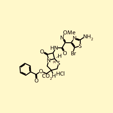 CON=C(C(=O)NC1C(=O)N2CC(COC(=O)c3ccccc3)(C(=O)O)CS[C@H]12)c1nc(N)sc1Br.Cl